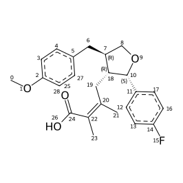 COc1ccc(C[C@H]2CO[C@H](c3ccc(F)cc3)[C@@H]2CC(C)=C(C)C(=O)O)cc1